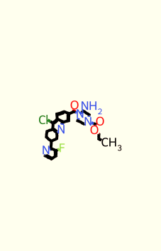 CCCOC(=O)N1CCN(C(=O)c2ccc3c(Cl)c4c(nc3c2)CC(c2ncccc2F)CC4)[C@H](N)C1